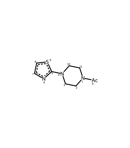 CC(=O)N1CCN(c2nccs2)CC1